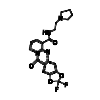 O=C(NCCN1CCCC1)c1cccn2c(=O)c3cc4c(cc3nc12)OC(F)(F)O4